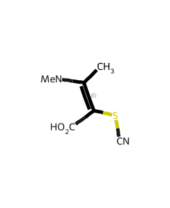 CN/C(C)=C(/SC#N)C(=O)O